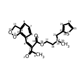 CC(=O)/C(=C/c1cccc2c1OOC2)C(=O)OCCN(C)Cc1cccs1